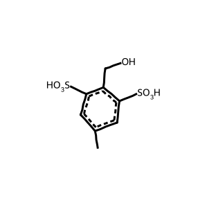 Cc1cc(S(=O)(=O)O)c(CO)c(S(=O)(=O)O)c1